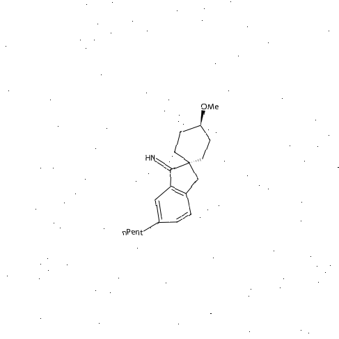 CCCCCc1ccc2c(c1)C(=N)[C@]1(CC[C@H](OC)CC1)C2